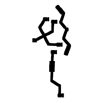 C=CCOCC=C.CCC(CO)(CO)CO.OC#CCCO